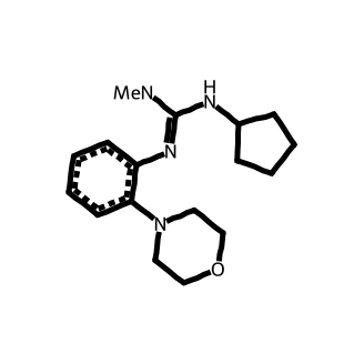 CN/C(=N\c1ccccc1N1CCOCC1)NC1CCCC1